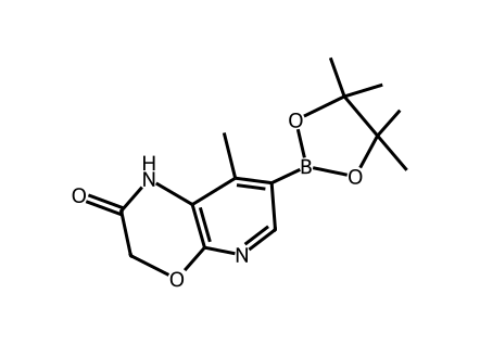 Cc1c(B2OC(C)(C)C(C)(C)O2)cnc2c1NC(=O)CO2